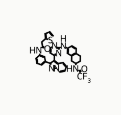 O=C(Cc1cccs1)Nc1cccc(-c2nn3ccccc3c2-c2ccnc(Nc3ccc4c(c3)CC(NC(=O)C(F)(F)F)CC4)n2)c1